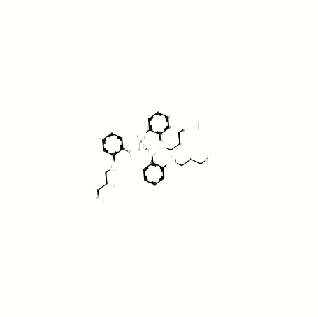 CCCCOc1ccccc1OP(Oc1ccccc1OCCCC)Oc1ccccc1OCCCC